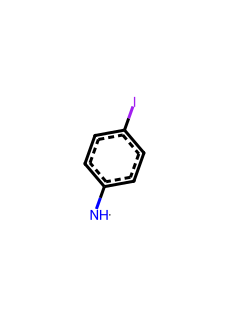 [NH]c1ccc(I)cc1